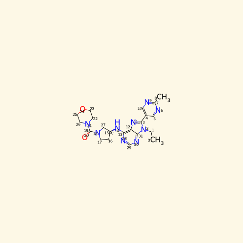 CCn1c(-c2cnc(C)nc2)nc2c(N[C@H]3CCN(C(=O)N4CCOCC4)C3)ncnc21